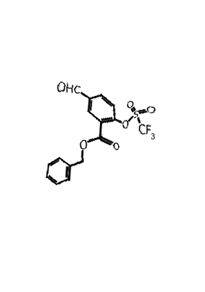 O=Cc1ccc(OS(=O)(=O)C(F)(F)F)c(C(=O)OCc2ccccc2)c1